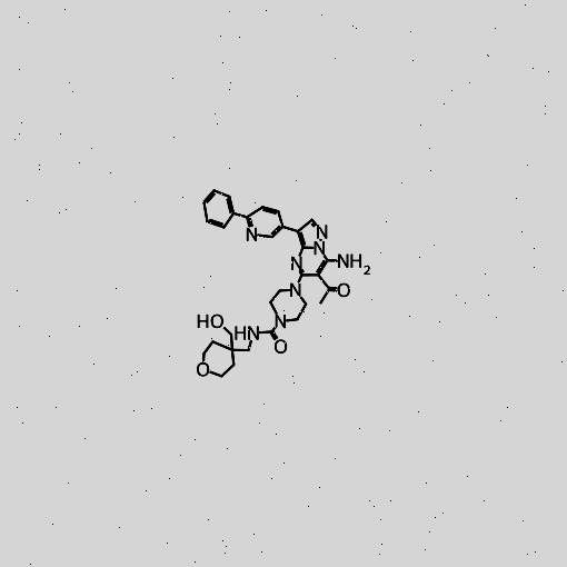 CC(=O)c1c(N2CCN(C(=O)NCC3(CO)CCOCC3)CC2)nc2c(-c3ccc(-c4ccccc4)nc3)cnn2c1N